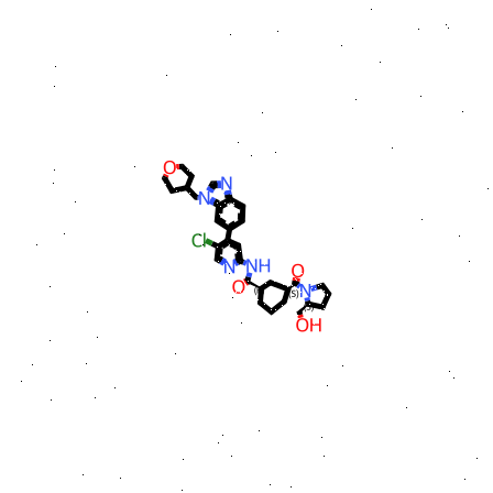 O=C(Nc1cc(-c2ccc3ncn(CC4CCOCC4)c3c2)c(Cl)cn1)[C@@H]1CCC[C@H](C(=O)N2CCC[C@H]2CO)C1